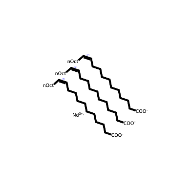 CCCCCCCC/C=C\CCCCCCCCCC(=O)[O-].CCCCCCCC/C=C\CCCCCCCCCC(=O)[O-].CCCCCCCC/C=C\CCCCCCCCCC(=O)[O-].[Nd+3]